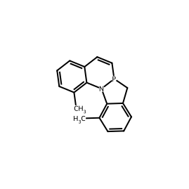 Cc1cccc2c1N1c3c(C)cccc3CP1C=C2